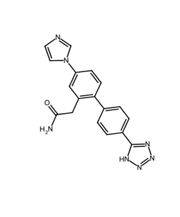 NC(=O)Cc1cc(-n2ccnc2)ccc1-c1ccc(-c2nnn[nH]2)cc1